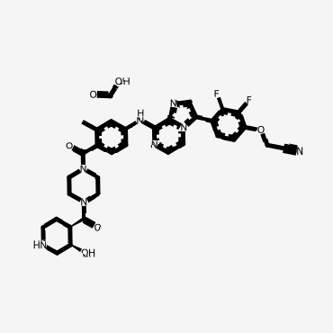 Cc1cc(Nc2nccn3c(-c4ccc(OCC#N)c(F)c4F)cnc23)ccc1C(=O)N1CCN(C(=O)[C@@H]2CCNC[C@@H]2O)CC1.O=CO